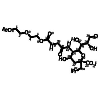 COCCOCCOC(=O)NCC(=O)N[C@H]1C([C@H](O)[C@H](O)CO)O[C@@](CC(C)C)(C(=O)O)C[C@H]1O